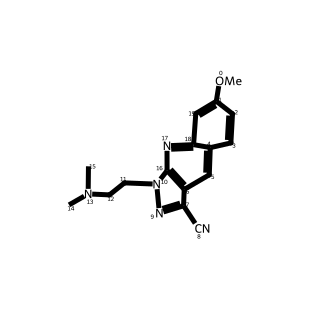 COc1ccc2cc3c(C#N)nn(CCN(C)C)c3nc2c1